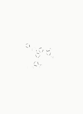 Nc1ccc(Oc2ccc(C3(c4ccc(Oc5ccc(N)cc5C(F)(F)F)cc4)CCC(c4ccccc4)CC3)cc2)c(C(F)(F)F)c1